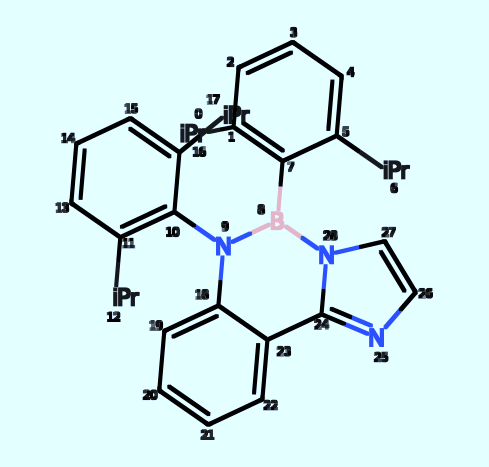 CC(C)c1cccc(C(C)C)c1B1N(c2c(C(C)C)cccc2C(C)C)c2ccccc2-c2nccn21